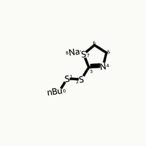 CCCCSSC1=NCCS1.[Na]